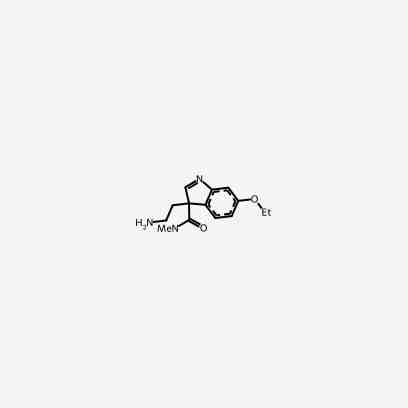 CCOc1ccc2c(c1)N=CC2(CCN)C(=O)NC